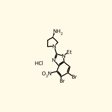 CCn1c(N2CC[C@@H](N)C2)nc2c([N+](=O)[O-])c(Br)c(Br)cc21.Cl